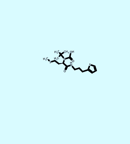 CSCC[C@H](C(=O)NCCCc1cccs1)N(C(=O)O)C(C)(C)C